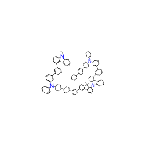 CCn1c2ccccc2c2c(-c3cccc(-c4cccc(N(c5ccccc5)c5ccc(-c6ccc(-c7cccc(-c8ccc9c(c8)-c8cccc(-n%10c%11ccccc%11c%11c(-c%12cccc(-c%13cccc(N(c%14ccccc%14)c%14ccc(-c%15ccc(-c%16ccccc%16)cc%15)cc%14)c%13)c%12)cccc%11%10)c8C9(C)C)c7)cc6)cc5)c4)c3)cccc21